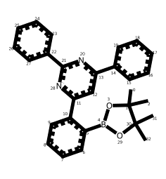 CC1(C)OB(c2ccccc2-c2cc(-c3ccccc3)nc(-c3ccccc3)n2)OC1(C)C